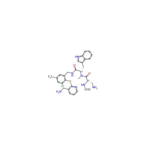 CN(C(=O)[C@H](CN)NC=O)[C@@H](Cc1c[nH]c2ccccc12)C(=O)NCc1cc(C(F)(F)F)cc(Cl)c1Sc1ncccc1CN